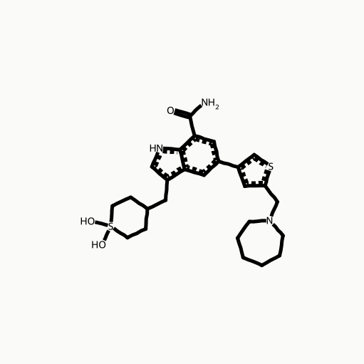 NC(=O)c1cc(-c2csc(CN3CCCCCC3)c2)cc2c(CC3CCS(O)(O)CC3)c[nH]c12